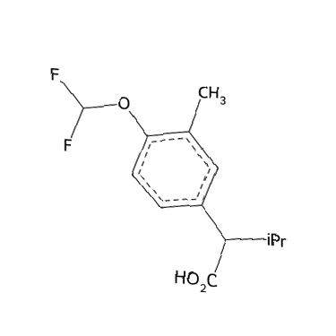 Cc1cc(C(C(=O)O)C(C)C)ccc1OC(F)F